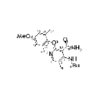 CCC(C)Nc1c(C)cnc(Oc2c(C)cc(OC)cc2C)c1C(N)=O